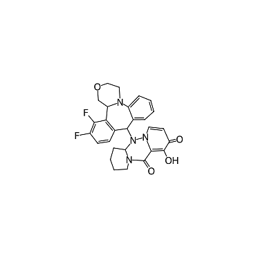 O=C1c2c(O)c(=O)ccn2N(C2c3ccccc3N3CCOCC3c3c2ccc(F)c3F)C2CCCCN12